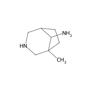 CC12CCC(CNC1)C2N